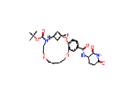 CC(C)(C)OC(=O)N1CCOCCCCOc2cc(C(=O)NC3CCC(=O)NC3=O)ccc2O[C@H]2C[C@H]1C2